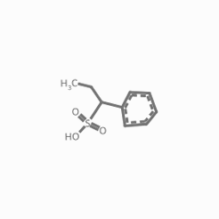 CC[C](c1ccccc1)S(=O)(=O)O